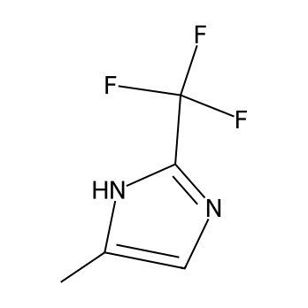 Cc1cnc(C(F)(F)F)[nH]1